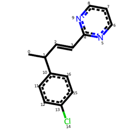 CC(C=Cc1ncccn1)c1ccc(Cl)cc1